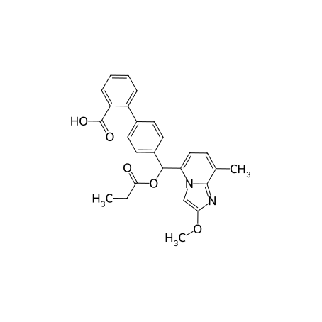 CCC(=O)OC(c1ccc(-c2ccccc2C(=O)O)cc1)c1ccc(C)c2nc(OC)cn12